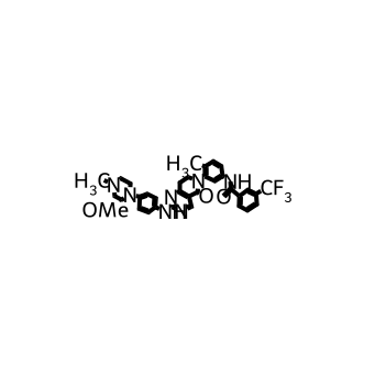 COC1CN(C)CCN1c1ccc(Nc2ncc3c(n2)CCN(c2cc(NC(=O)c4cccc(C(F)(F)F)c4)ccc2C)C3=O)cc1